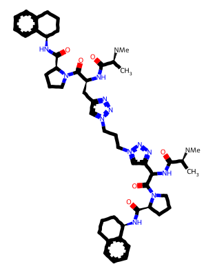 CN[C@@H](C)C(=O)NC(C(=O)N1CCC[C@H]1C(=O)N[C@@H]1CCCc2ccccc21)c1cn(CCCn2cc(C[C@H](NC(=O)[C@H](C)NC)C(=O)N3CCC[C@H]3C(=O)N[C@@H]3CCCc4ccccc43)nn2)nn1